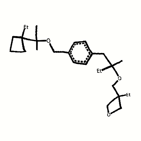 CCC1(COC(C)(CC)Cc2ccc(COC(C)(C)C3(CC)CCC3)cc2)COC1